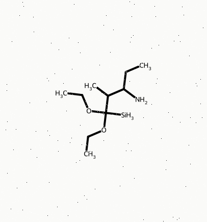 CCOC([SiH3])(OCC)C(C)C(N)CC